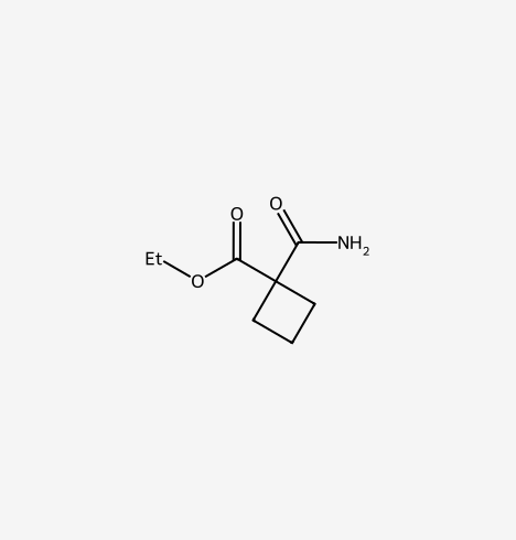 CCOC(=O)C1(C(N)=O)CCC1